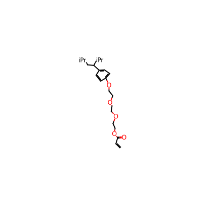 C=CC(=O)OCCOCCOCCOc1ccc(C(CC(C)C)C(C)C)cc1